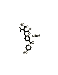 CC(C)/C(C(=O)O)=C(\Cc1ccc(C(=O)N2CCC(O)CC2)cc1)C(=O)O.[NaH].[NaH]